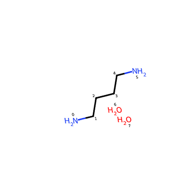 NCCCCN.O.O